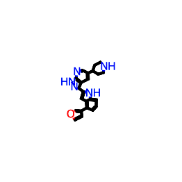 c1cc(-c2ccoc2)c2cc(-c3n[nH]c4ncc(C5CCNCC5)cc34)[nH]c2c1